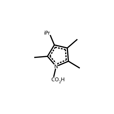 Cc1c(C(C)C)c(C)n(C(=O)O)c1C